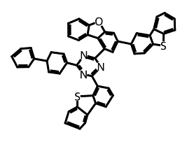 C1=CC(c2ccccc2)CC=C1c1nc(-c2cccc3c2sc2ccccc23)nc(-c2cc(-c3ccc4sc5ccccc5c4c3)cc3oc4ccccc4c23)n1